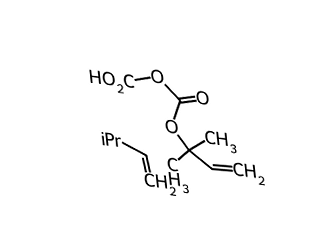 C=CC(C)(C)OC(=O)OC(=O)O.C=CC(C)C